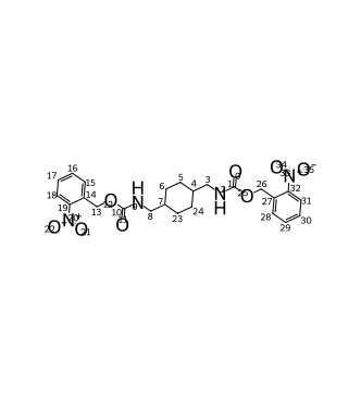 O=C(NCC1CCC(CNC(=O)OCc2ccccc2[N+](=O)[O-])CC1)OCc1ccccc1[N+](=O)[O-]